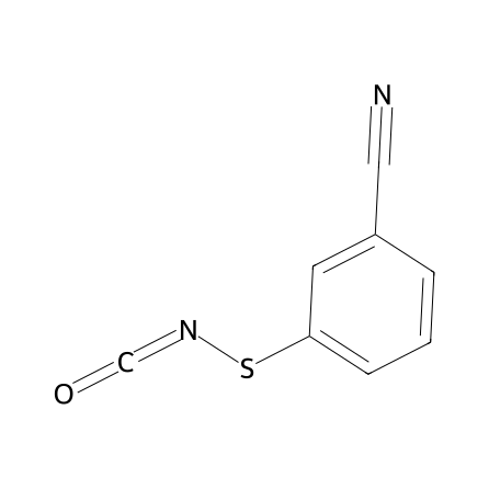 N#Cc1cccc(SN=C=O)c1